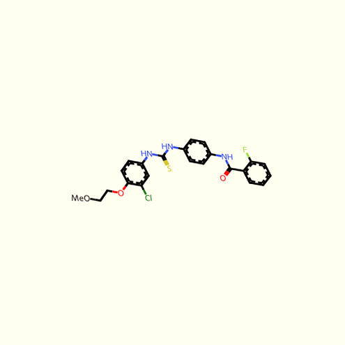 COCCOc1ccc(NC(=S)Nc2ccc(NC(=O)c3ccccc3F)cc2)cc1Cl